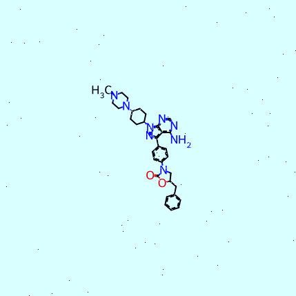 CN1CCN([C@H]2CC[C@H](n3nc(-c4ccc(N5CC(Cc6ccccc6)OC5=O)cc4)c4c(N)ncnc43)CC2)CC1